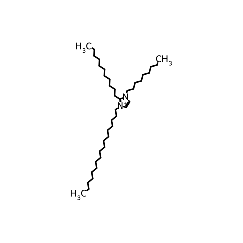 CCCCCCCCCCCCCCCCC[n+]1ccn(CCCCCCCCC)c1CCCCCCCCCCC